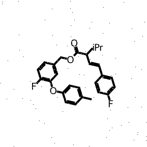 Cc1ccc(Oc2cc(COC(=O)C(C=Cc3ccc(F)cc3)C(C)C)ccc2F)cc1